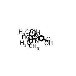 CC(C)CC(C(=O)O)C(CC(C)C)(C(O)=S)c1nc2cc(C(=O)O)ccc2s1